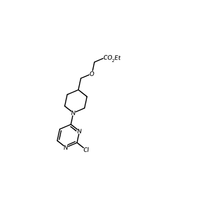 CCOC(=O)COCC1CCN(c2ccnc(Cl)n2)CC1